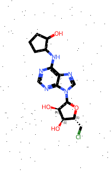 OC1CCCC1Nc1ncnc2c1ncn2C1O[C@H](CCl)[C@@H](O)[C@H]1O